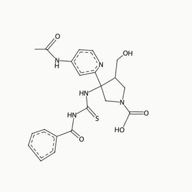 CC(=O)Nc1ccnc(C2(NC(=S)NC(=O)c3ccccc3)CN(C(=O)O)CC2CO)c1